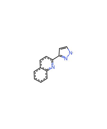 C1=CC(c2ccc3ccccc3n2)=N[N]1